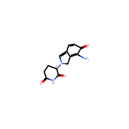 NC1=C2CN([C@@H]3CCC(=O)NC3=O)C=C2C=CC1=O